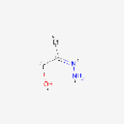 CCC(CO)=NN